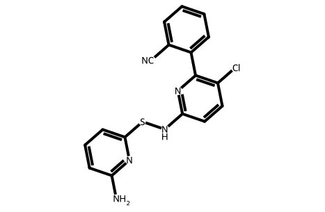 N#Cc1ccccc1-c1nc(NSc2cccc(N)n2)ccc1Cl